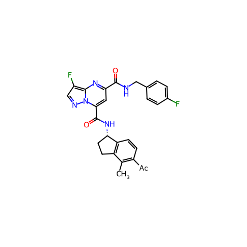 CC(=O)c1ccc2c(c1C)CC[C@@H]2NC(=O)c1cc(C(=O)NCc2ccc(F)cc2)nc2c(F)cnn12